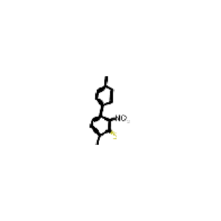 CC1=CC=C(c2ccc(C)cc2)C([N+](=O)[O-])C1=S